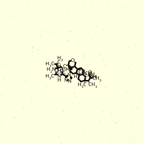 CC(C)NC(=O)c1nncn1[C@@H]1C[C@@]23COC[C@](C)([C@@H]2CC[C@H]2C3=CC[C@@]3(C)[C@H](C(=O)O)[C@@](C)([C@H](C)C(C)C)CC[C@]23C)[C@H]1OC[C@](C)(N)C(C)C